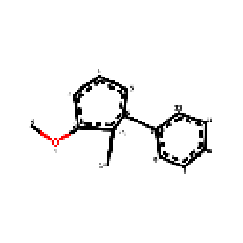 COc1cccc(-c2ccccc2)c1C